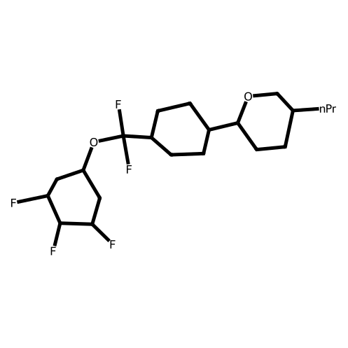 CCCC1CCC(C2CCC(C(F)(F)OC3CC(F)C(F)C(F)C3)CC2)OC1